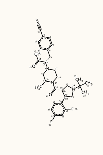 C[C@H]1CN([C@@H](Cc2ccc(C#N)cc2)C(=O)O)CCN1C(=O)[C@@H]1CN(C(C)(C)C)C[C@H]1c1ccc(F)cc1F